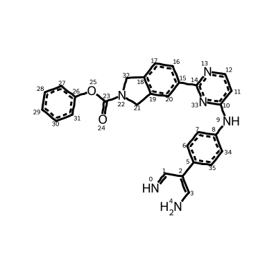 N=C/C(=C\N)c1ccc(Nc2ccnc(-c3ccc4c(c3)CN(C(=O)Oc3ccccc3)C4)n2)cc1